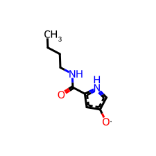 CCCCNC(=O)c1cc([O])c[nH]1